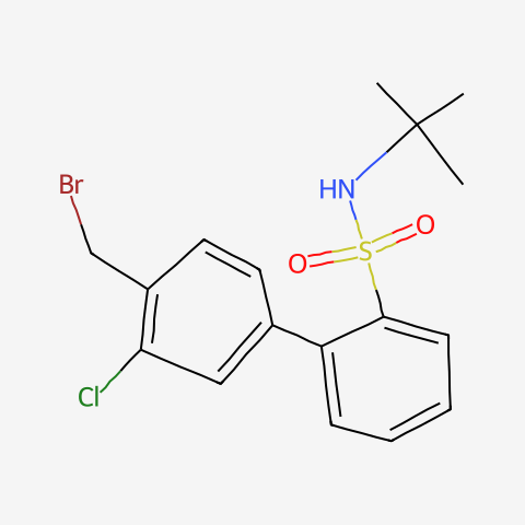 CC(C)(C)NS(=O)(=O)c1ccccc1-c1ccc(CBr)c(Cl)c1